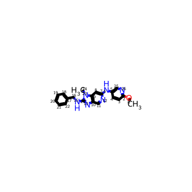 COc1ccc(Nc2cc3c(cn2)nc(NCc2ccccc2)n3C)cn1